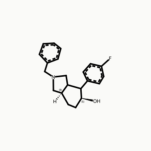 O[C@H]1CC[C@H]2CN(Cc3ccccc3)CC2C1c1ccc(F)cc1